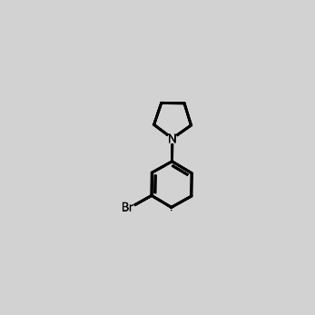 BrC1=CC(N2CCCC2)=CC[CH]1